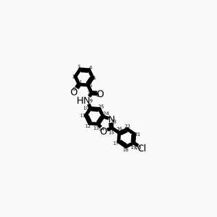 O=C1CC=CC=C1C(=O)Nc1ccc2oc(-c3ccc(Cl)cc3)nc2c1